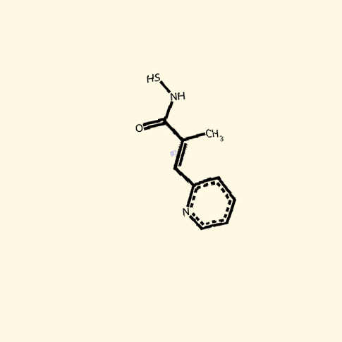 C/C(=C\c1ccccn1)C(=O)NS